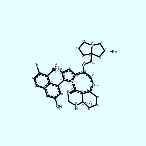 C#Cc1c(F)ccc2cc(O)cc(-c3c(F)cc4c(OC[C@@]56CCCN5C[C@H](F)C6)coc5c6c(n34)=NCN[C@@H]6CCC5)c12